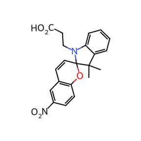 CC1(C)c2ccccc2N(CCC(=O)O)C12C=Cc1cc([N+](=O)[O-])ccc1O2